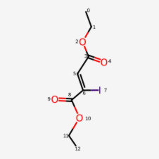 CCOC(=O)C=C(I)C(=O)OCC